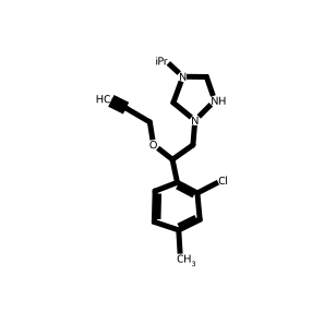 C#CCOC(CN1CN(C(C)C)CN1)c1ccc(C)cc1Cl